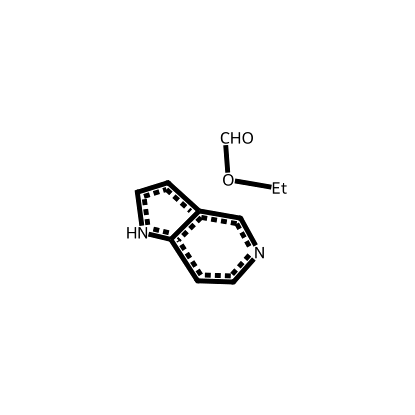 CCOC=O.c1cc2[nH]ccc2cn1